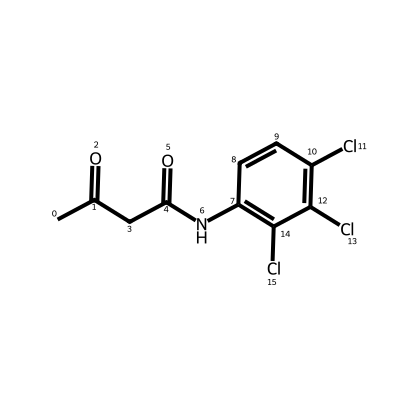 CC(=O)CC(=O)Nc1ccc(Cl)c(Cl)c1Cl